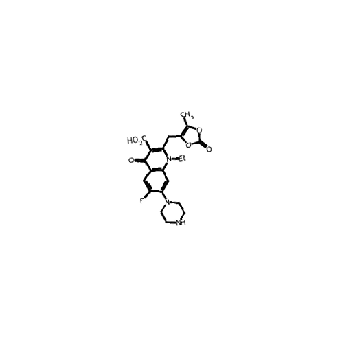 CCn1c(Cc2oc(=O)oc2C)c(C(=O)O)c(=O)c2cc(F)c(N3CCNCC3)cc21